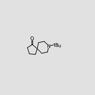 CC(C)(C)N1CCC2(CCCC2=O)CC1